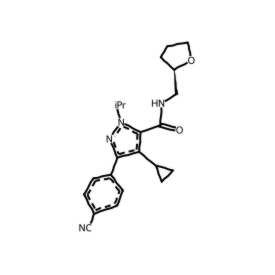 CC(C)n1nc(-c2ccc(C#N)cc2)c(C2CC2)c1C(=O)NC[C@H]1CCCO1